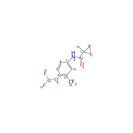 CC1(C(=O)Nc2ccc(OC(F)F)c(C(F)(F)F)c2)CC1